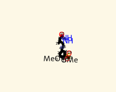 COc1cc(/C=C/C2NNC(=O)CC2C)cc(S(C)(=O)=O)c1OC